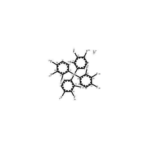 Fc1cc[c]([Al-]([c]2ccc(F)c(F)c2F)([c]2ccc(F)c(F)c2F)[c]2ccc(F)c(F)c2F)c(F)c1F.[Li+]